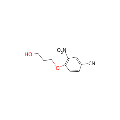 N#Cc1ccc(OCCCO)c([N+](=O)[O-])c1